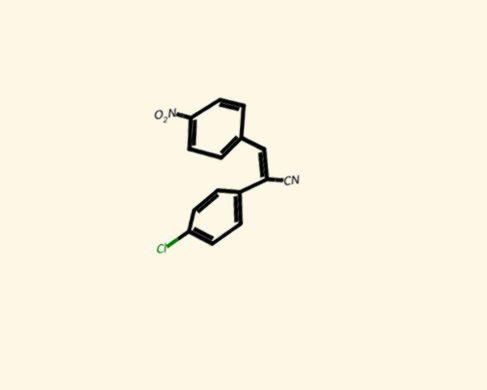 N#CC(=Cc1ccc([N+](=O)[O-])cc1)c1ccc(Cl)cc1